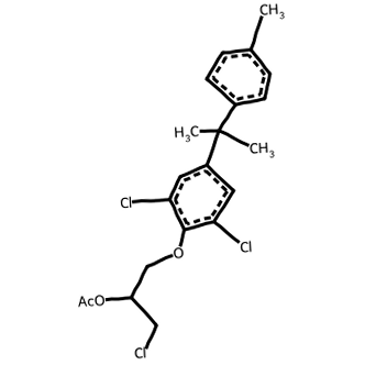 CC(=O)OC(CCl)COc1c(Cl)cc(C(C)(C)c2ccc(C)cc2)cc1Cl